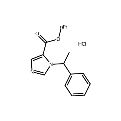 CCCOC(=O)c1cncn1C(C)c1ccccc1.Cl